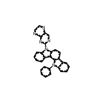 c1ccc(-n2c3ccccc3c3ccc4c(c5ccccc5n4-c4ncc5nccnc5n4)c32)cc1